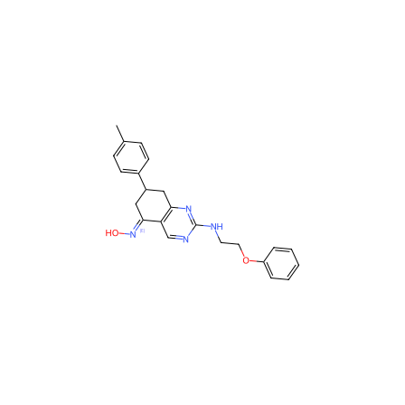 Cc1ccc(C2C/C(=N\O)c3cnc(NCCOc4ccccc4)nc3C2)cc1